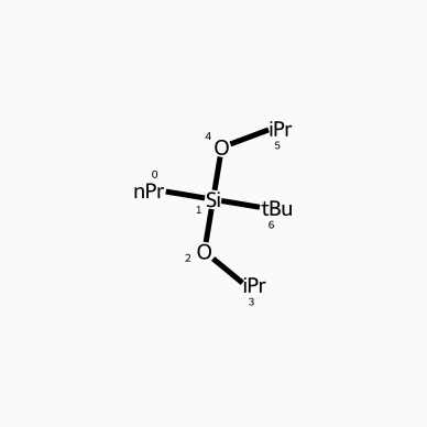 CCC[Si](OC(C)C)(OC(C)C)C(C)(C)C